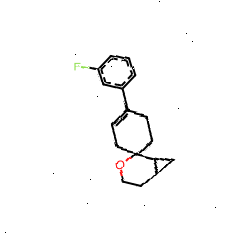 Fc1cccc(C2=CCC3(CC2)OCCC2CC23)c1